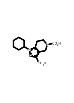 O=C(O)c1nn(C2CCCCC2)c2c1CN(C(=O)O)CC2